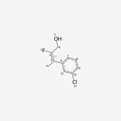 C/C(=C(\F)CO)c1cccc(Cl)c1